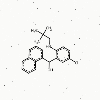 CC(C)(C)CNc1ccc(Cl)cc1C(O)c1cccc2ccccc12